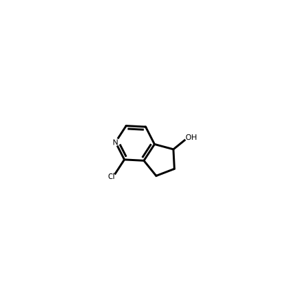 OC1CCc2c1ccnc2Cl